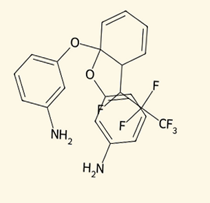 Nc1cccc(OC2(Oc3cccc(N)c3)C=CC=CC2C(F)C(F)(F)C(F)(F)F)c1